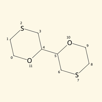 C1CSCC(C2CSCCO2)O1